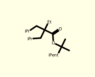 CCCC(C)C(C)(C)OC(=O)C(CC)(CC(C)C)CC(C)C